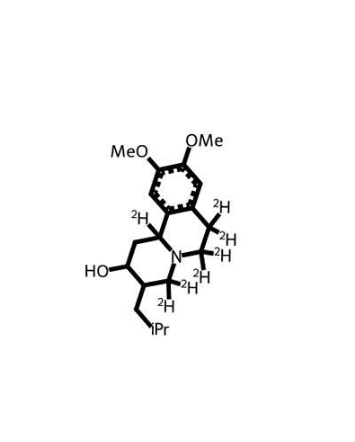 [2H]C12CC(O)C(CC(C)C)C([2H])([2H])N1C([2H])([2H])C([2H])([2H])c1cc(OC)c(OC)cc12